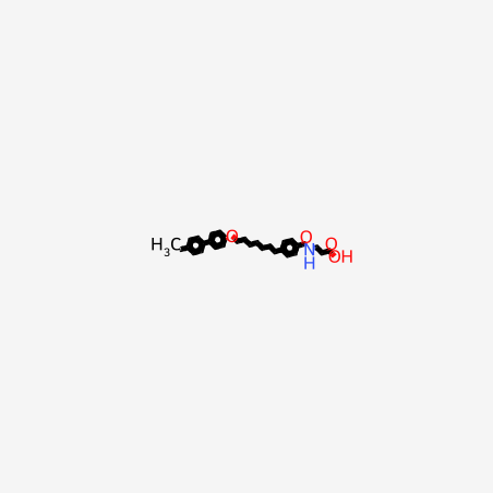 CCc1ccc(-c2ccc(OCCCCCCCc3ccc(C(=O)NCCC(=O)O)cc3)cc2)cc1